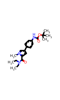 CCN(CC)C(=O)c1cc(-c2ccc(NC(=O)OC(C)(C)C)cc2)cn1C